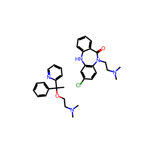 CN(C)CCN1C(=O)c2ccccc2Nc2cc(Cl)ccc21.CN(C)CCOC(C)(c1ccccc1)c1ccccn1